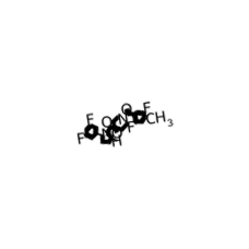 Cc1cc(F)c(C(=O)N2CCC3(CC2)O[C@@H]2CC[C@@H](c4cc(F)cc(F)c4)N2C3=O)cc1F